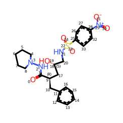 O=C(NN1CCCCC1)[C@H](Cc1ccccc1)C[C@H](O)CNS(=O)(=O)c1ccc([N+](=O)[O-])cc1